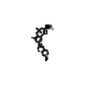 Cc1cc(N2CCc3cc(F)ccc3C2)cc(C)c1CC(C)(C)CC(N)=O